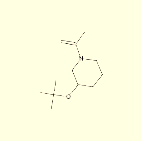 C=C(C)N1CCCC(OC(C)(C)C)C1